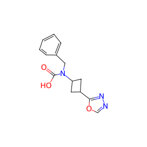 O=C(O)N(Cc1ccccc1)C1CC(c2nnco2)C1